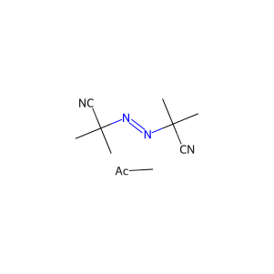 CC(C)(C#N)/N=N/C(C)(C)C#N.CC(C)=O